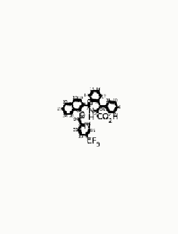 O=C(NC(C(=O)O)C(c1ccccc1)c1ccccc1)c1ccc2ccccc2c1OCc1ccc(C(F)(F)F)cn1